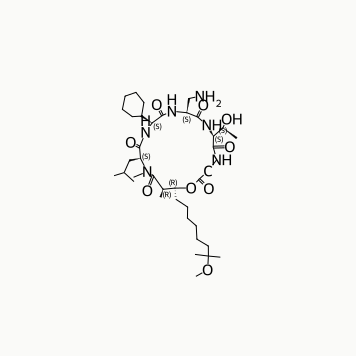 COC(C)(C)CCCCCC[C@H]1OC(=O)CNC(=O)[C@H]([C@H](C)O)NC(=O)[C@H](CN)NC(=O)[C@H](C2CCCCC2)NC(=O)[C@H](CC(C)C)N(C)C(=O)[C@@H]1C